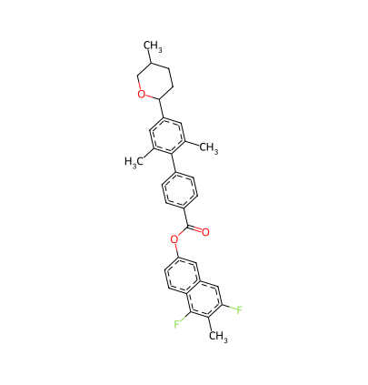 Cc1cc(C2CCC(C)CO2)cc(C)c1-c1ccc(C(=O)Oc2ccc3c(F)c(C)c(F)cc3c2)cc1